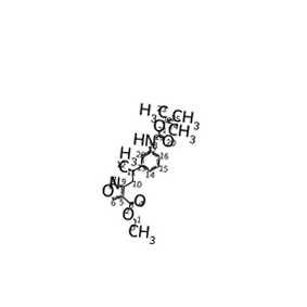 CCOC(=O)c1conc1CC(C)c1cccc(NC(=O)OC(C)(C)C)c1